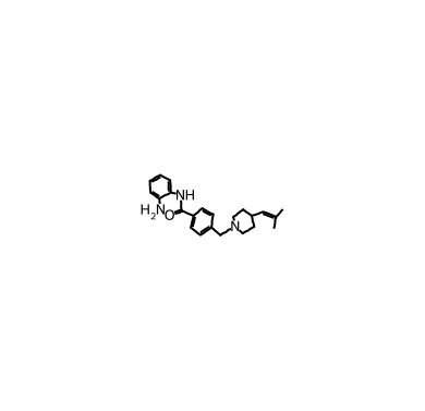 CC(C)=CC1CCN(Cc2ccc(C(=O)Nc3ccccc3N)cc2)CC1